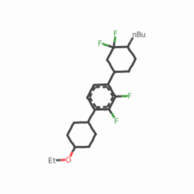 CCCCC1CCC(c2ccc(C3CCC(OCC)CC3)c(F)c2F)CC1(F)F